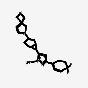 CC(C)n1nc(C2CCC(F)(F)CC2)cc1C1C2CC(N3CCC4(CSC4)C3)CC21